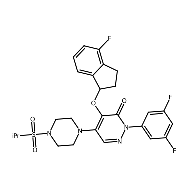 CC(C)S(=O)(=O)N1CCN(c2cnn(-c3cc(F)cc(F)c3)c(=O)c2OC2CCc3c(F)cccc32)CC1